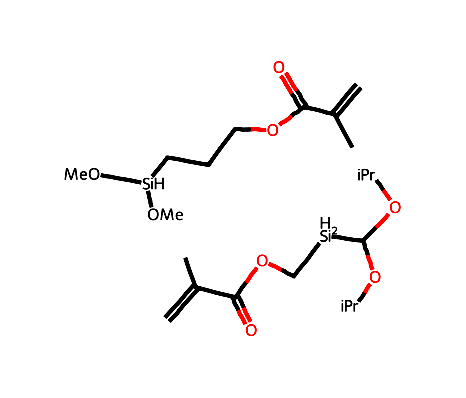 C=C(C)C(=O)OCCC[SiH](OC)OC.C=C(C)C(=O)OC[SiH2]C(OC(C)C)OC(C)C